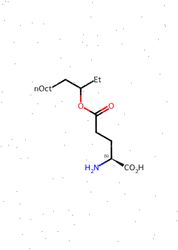 CCCCCCCCCC(CC)OC(=O)CC[C@H](N)C(=O)O